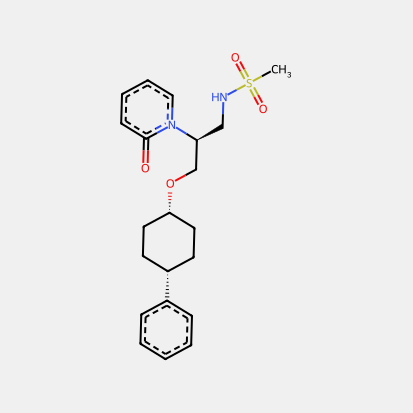 CS(=O)(=O)NC[C@@H](CO[C@H]1CC[C@@H](c2ccccc2)CC1)n1ccccc1=O